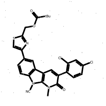 Cn1c(=O)c(-c2ccc(Cl)cc2Cl)cc2c3cc(-c4csc(COC(=O)C(C)(C)C)n4)ccc3n(C#N)c21